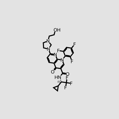 O=C(N[C@@H](C1CC1)C(F)(F)F)c1cn(-c2c(F)cc(F)cc2F)c2nc(N3CCN(CCO)C3)ccc2c1=O